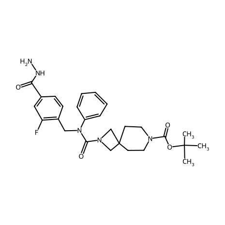 CC(C)(C)OC(=O)N1CCC2(CC1)CN(C(=O)N(Cc1ccc(C(=O)NN)cc1F)c1ccccc1)C2